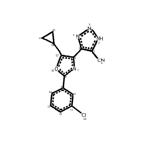 N#Cc1[nH]nnc1-c1nc(-c2cccc(Cl)c2)oc1C1CC1